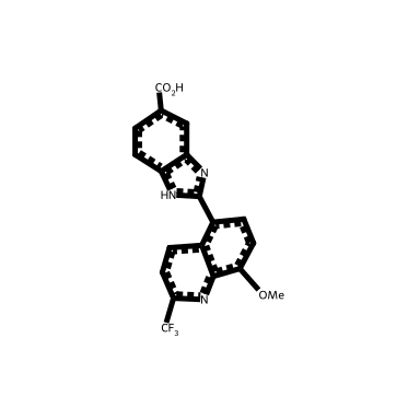 COc1ccc(-c2nc3cc(C(=O)O)ccc3[nH]2)c2ccc(C(F)(F)F)nc12